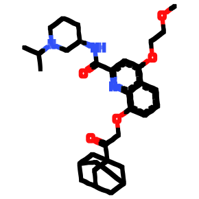 COCCOc1cc(C(=O)N[C@@H]2CCCN(C(C)C)C2)nc2c(OCC(=O)C34CC5CC(CC(C5)C3)C4)cccc12